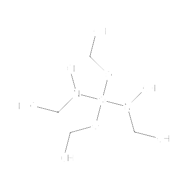 CCO[Si](OCC)(N(C)CC)N(C)CC